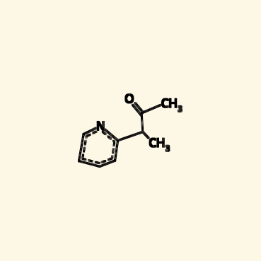 CC(=O)C(C)c1ccccn1